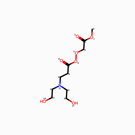 COC(=O)COOC(=O)CCN(CCO)CCO